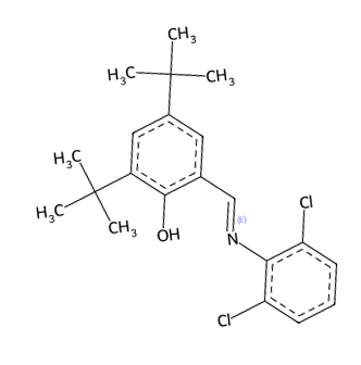 CC(C)(C)c1cc(/C=N/c2c(Cl)cccc2Cl)c(O)c(C(C)(C)C)c1